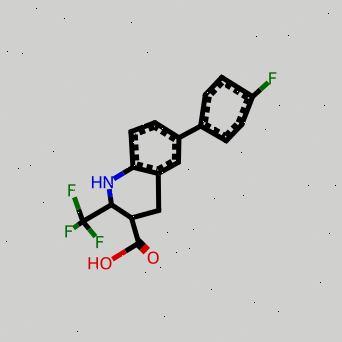 O=C(O)C1Cc2cc(-c3ccc(F)cc3)ccc2NC1C(F)(F)F